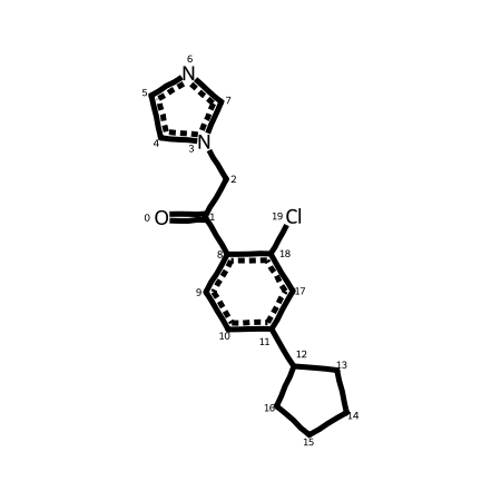 O=C(Cn1ccnc1)c1ccc(C2CCCC2)cc1Cl